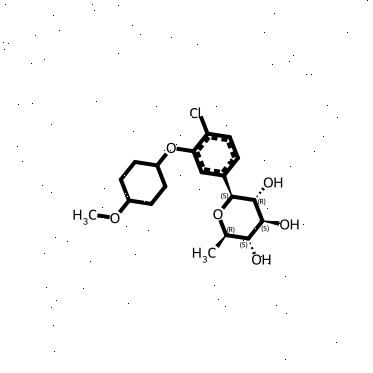 COC1CCC(Oc2cc([C@@H]3O[C@H](C)[C@@H](O)[C@H](O)[C@H]3O)ccc2Cl)CC1